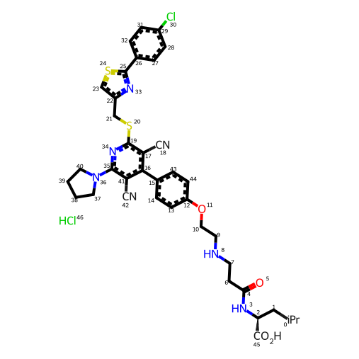 CC(C)C[C@H](NC(=O)CCNCCOc1ccc(-c2c(C#N)c(SCc3csc(-c4ccc(Cl)cc4)n3)nc(N3CCCC3)c2C#N)cc1)C(=O)O.Cl